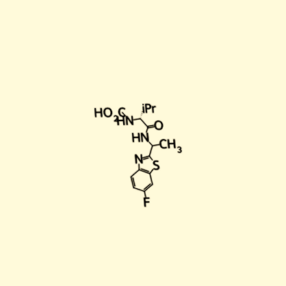 CC(NC(=O)[C@H](NC(=O)O)C(C)C)c1nc2ccc(F)cc2s1